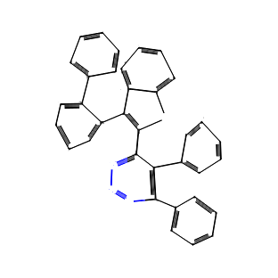 c1ccc(-c2ccccc2-c2c(-c3nnnc(-c4ccccc4)c3-c3ccccc3)[se]c3ccccc23)cc1